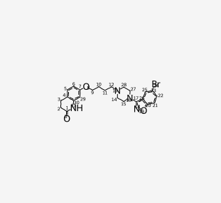 O=C1CCc2ccc(OCCCCN3CCN(c4noc5ccc(Br)cc45)CC3)cc2N1